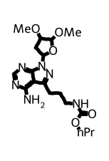 CCCOC(=O)NCCCc1nn(C2CC(OC)C(OC)O2)c2ncnc(N)c12